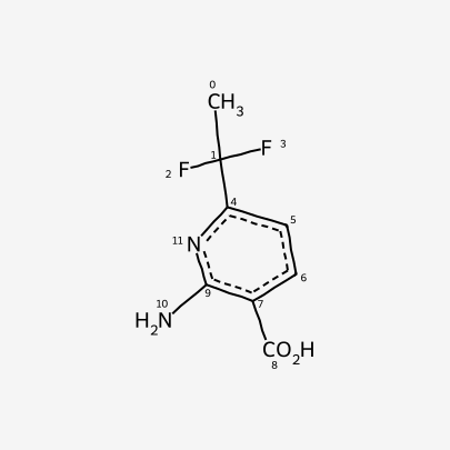 CC(F)(F)c1ccc(C(=O)O)c(N)n1